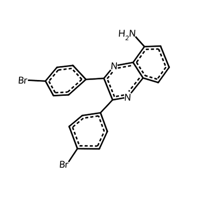 Nc1cccc2nc(-c3ccc(Br)cc3)c(-c3ccc(Br)cc3)nc12